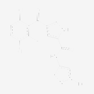 CCn1cc(NC(=O)c2cc(C(=O)c3c(Cl)ccc(Cl)c3F)c[nH]2)cn1